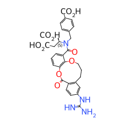 N=C(N)Nc1ccc2c(c1)CCCOc1c(cccc1C(=O)N(Cc1ccc(C(=O)O)cc1)[C@@H](CC(=O)O)C(=O)O)OC2=O